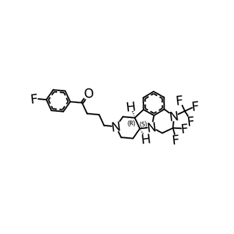 O=C(CCCN1CC[C@H]2[C@@H](C1)c1cccc3c1N2CC(F)(F)N3C(F)(F)F)c1ccc(F)cc1